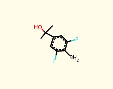 Bc1c(F)cc(C(C)(C)O)cc1F